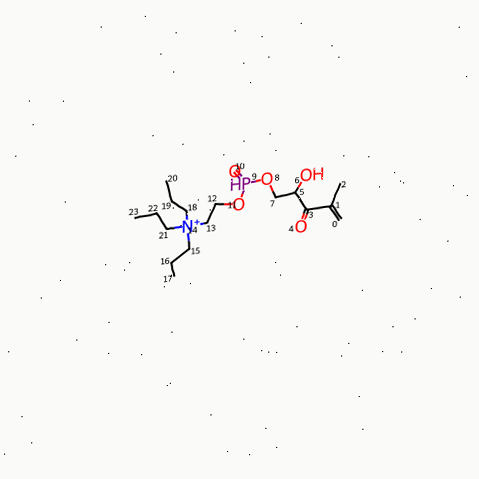 C=C(C)C(=O)C(O)CO[PH](=O)OCC[N+](CCC)(CCC)CCC